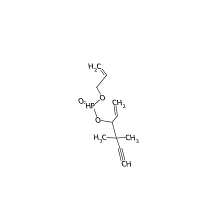 C#CC(C)(C)C(C=C)O[PH](=O)OCC=C